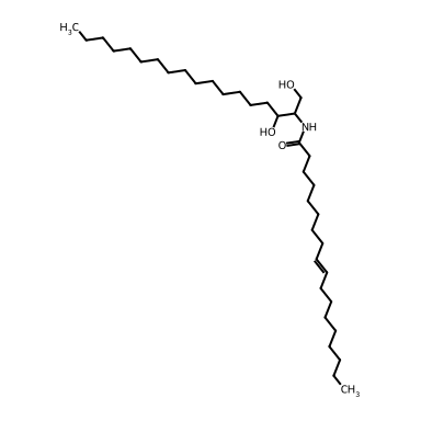 CCCCCCCCC=CCCCCCCCC(=O)NC(CO)C(O)CCCCCCCCCCCCCCC